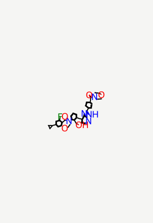 O=C(c1ccc(-c2nc3c(-c4cccc(N5CCOc6cc(C7CC7)cc(F)c6C5=O)c4CO)ccnc3[nH]2)cc1)N1CCOCC1